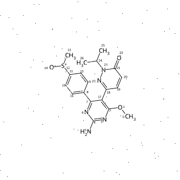 COc1nc(N)nc(-c2ccc([S+](C)[O-])cc2)c1-c1ccc(=O)n(C(C)C)n1